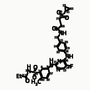 CCC(=O)NS(=O)(=O)c1cc(Nc2ncc(F)c(Nc3ccc(CNC(=O)CCS(=O)(=O)C4CC4)cc3)n2)ccc1C